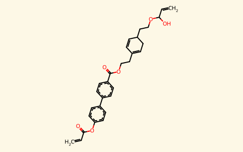 C=CC(=O)Oc1ccc(-c2ccc(C(=O)OCCC3=CCC(CCOC(O)C=C)C=C3)cc2)cc1